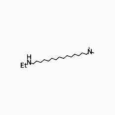 CCNCCCCCCCCCCCCCCCN(C)C